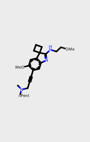 CCCCCN(C)CC#Cc1cc2c(cc1OC)C1(CCC1)C(NCCOC)=N2